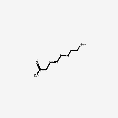 CCCCCCCCCCCCCC(=O)CC